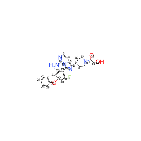 Nc1nccc2c(C3CCN(C(=O)CO)CC3)nc(-c3ccc(Oc4ccccc4)cc3F)n12